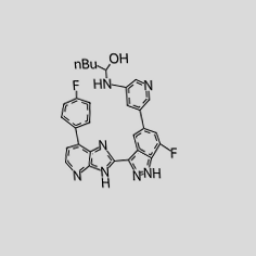 CCCCC(O)Nc1cncc(-c2cc(F)c3[nH]nc(-c4nc5c(-c6ccc(F)cc6)ccnc5[nH]4)c3c2)c1